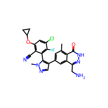 Cc1cc(-c2cnn(C)c2-c2c(F)c(Cl)cc(OC3CC3)c2C#N)cc2c(CN)n[nH]c(=O)c12